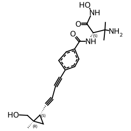 CC(C)(N)[C@H](NC(=O)c1ccc(C#CC#C[C@@H]2C[C@@]2(C)CO)cc1)C(=O)NO